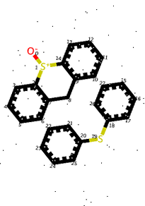 [O-][S+]1c2ccccc2Cc2ccccc21.c1ccc(Sc2ccccc2)cc1